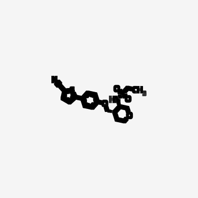 CCS(=O)(=O)N[C@H]1COCC[C@@H]1COc1ccc(-c2ccc(C#N)s2)cc1